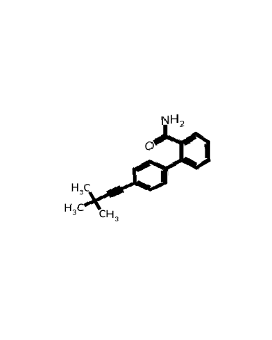 CC(C)(C)C#Cc1ccc(-c2ccccc2C(N)=O)cc1